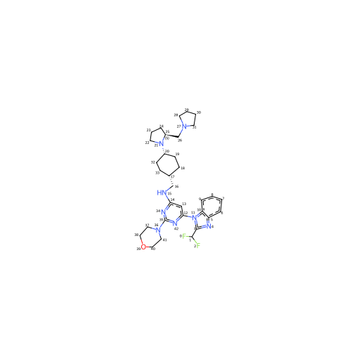 FC(F)c1nc2ccccc2n1-c1cc(NC[C@H]2CC[C@@H](N3CCC[C@H]3CN3CCCC3)CC2)nc(N2CCOCC2)n1